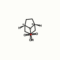 CS(=O)(=O)N1[C@@H]2CC[C@H]1CC(O)C2